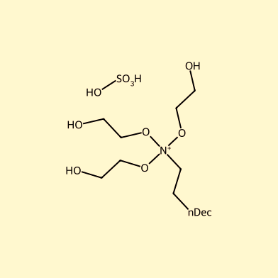 CCCCCCCCCCCC[N+](OCCO)(OCCO)OCCO.O=S(=O)(O)O